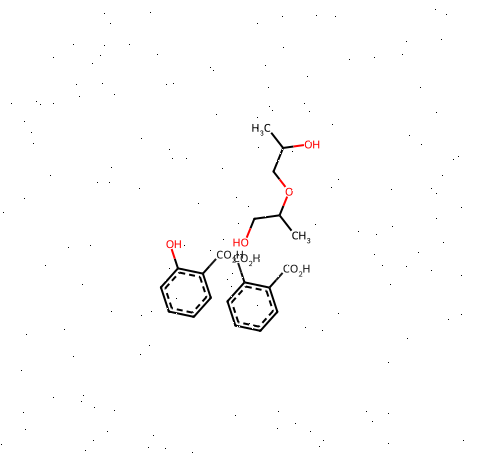 CC(O)COC(C)CO.O=C(O)c1ccccc1C(=O)O.O=C(O)c1ccccc1O